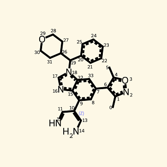 Cc1noc(C)c1-c1cc(/C(C=N)=C/N)c2ncn(C(c3ccccc3)C3CCOCC3)c2c1